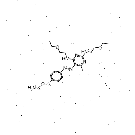 CCOCCNc1nc(C)c(N=Nc2ccc(OOSN)cc2)c(NCCOCC)n1